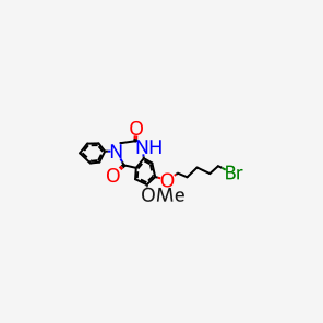 COc1cc2c(cc1OCCCCCBr)NC(=O)CN(c1ccccc1)C2=O